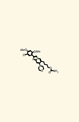 COc1cc(OC)c(-c2cn3cc(CCCCOC(N)=O)c(N4CCOCC4)cc3n2)cc1Cl